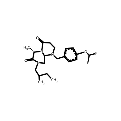 CCC(C)CN1CC2N(Cc3ccc(OC(F)F)cc3)CCC(=O)N2[C@@H](C)C1=O